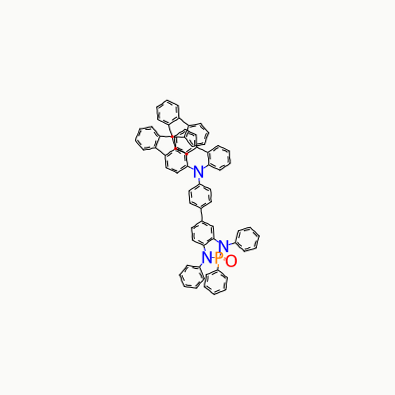 O=P1(c2ccccc2)N(c2ccccc2)c2ccc(-c3ccc(N(c4ccc5c(c4)C4(c6ccccc6-c6ccccc64)c4ccccc4-5)c4ccccc4-c4ccccc4)cc3)cc2N1c1ccccc1